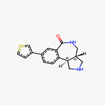 O=C1NC[C@@H]2CNC[C@H]2c2ccc(-c3ccsc3)cc21